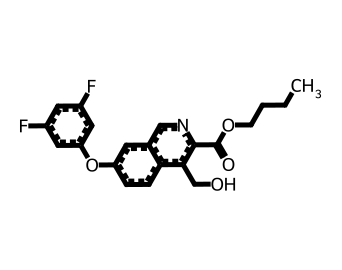 CCCCOC(=O)c1ncc2cc(Oc3cc(F)cc(F)c3)ccc2c1CO